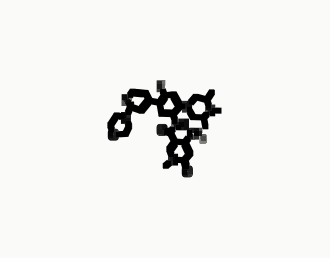 CC1CN(c2cc(F)c(-c3ccnc(N4CCOCC4)c3)cc2NC(=O)c2cn(C)c(=O)cc2C(F)(F)F)CC(C)N1C